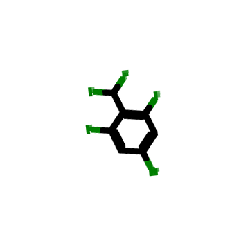 Fc1cc(Br)cc(F)c1C(F)F